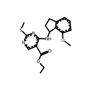 CCOC(=O)c1cnc(SC)nc1NC1CCc2cccc(OC)c21